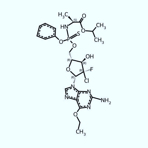 CCOc1nc(N)nc2c1ncn2[C@@H]1O[C@H](COP(=S)(N[C@@H](C)C(=O)OC(C)C)Oc2ccccc2)[C@@H](O)[C@@]1(F)Cl